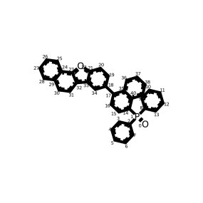 O=P(c1ccccc1)(c1ccccc1)c1ccc(-c2ccc3oc4c5ccccc5ccc4c3c2)c2ccccc12